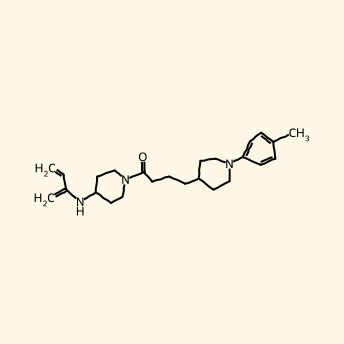 C=CC(=C)NC1CCN(C(=O)CCCC2CCN(c3ccc(C)cc3)CC2)CC1